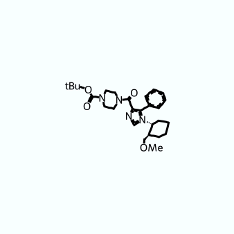 COC[C@@H]1CCCC[C@H]1n1cnc(C(=O)N2CCN(C(=O)OC(C)(C)C)CC2)c1-c1ccccc1